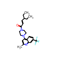 CCC(/C=C/C(=O)N1CCN(c2cc(C)nc3cc(C(F)(F)F)ccc23)CC1)CC